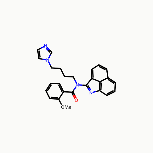 COc1ccccc1C(=O)N(CCCCn1ccnc1)C1=Nc2cccc3cccc1c23